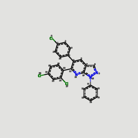 Clc1ccc(-c2cc3cnn(-c4ccccc4)c3nc2-c2ccc(Cl)cc2Cl)cc1